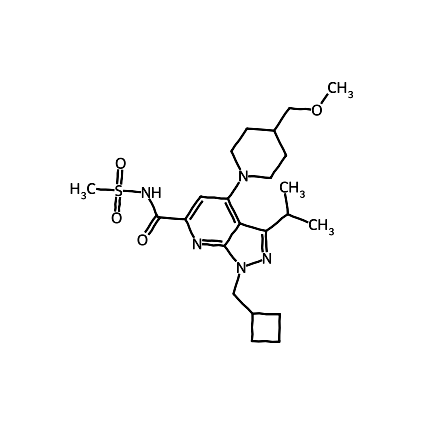 COCC1CCN(c2cc(C(=O)NS(C)(=O)=O)nc3c2c(C(C)C)nn3CC2CCC2)CC1